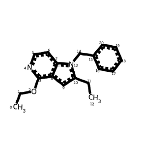 CCOc1nccc2c1cc(CC)n2Cc1ccccc1